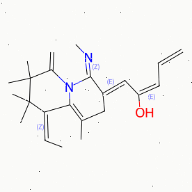 C=C\C=C(O)/C=C1\CC(C)=C2/C(=C\C)C(C)(C)C(C)(C)C(=C)N2\C1=N/C